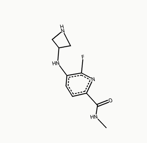 CNC(=O)c1ccc(NC2CNC2)c(F)n1